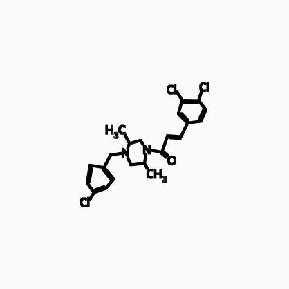 CC1CN(C(=O)/C=C/c2ccc(Cl)c(Cl)c2)C(C)CN1Cc1ccc(Cl)cc1